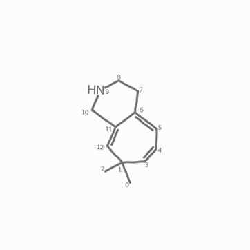 CC1(C)C=CC=C2CCNCC2=C1